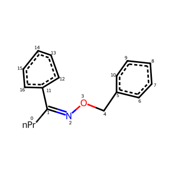 CCCC(=NOCc1ccccc1)c1cc[c]cc1